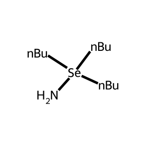 CCCC[Se](N)(CCCC)CCCC